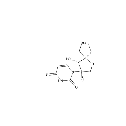 CC[C@]1(CO)OC[C@](Cl)(n2ccc(=O)[nH]c2=O)[C@@H]1O